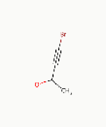 CC([O])C#CBr